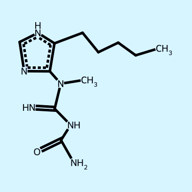 CCCCCc1[nH]cnc1N(C)C(=N)NC(N)=O